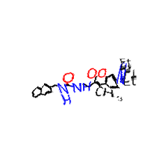 CCN(CC)c1ccc2c(C)c(CCNC(=O)NCc3ccc4ccccc4c3)c(=O)oc2c1